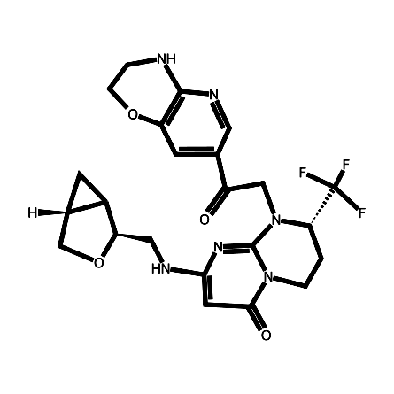 O=C(CN1c2nc(NC[C@H]3OC[C@@H]4CC43)cc(=O)n2CC[C@H]1C(F)(F)F)c1cnc2c(c1)OCCN2